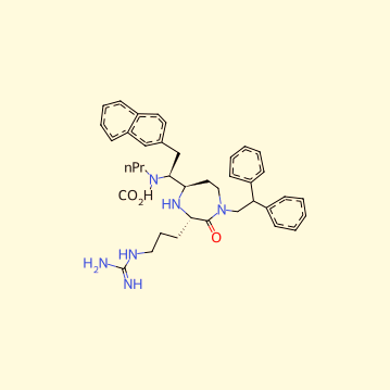 CCCN(C(=O)O)[C@@H](Cc1ccc2ccccc2c1)[C@H]1CCN(CC(c2ccccc2)c2ccccc2)C(=O)[C@H](CCCNC(=N)N)N1